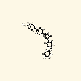 CN1CCC(N2CCC(n3ccc(-c4ccc(Oc5ccccc5)cc4)n3)CC2)CC1